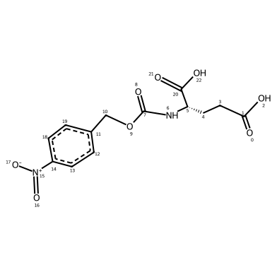 O=C(O)CC[C@H](NC(=O)OCc1ccc([N+](=O)[O-])cc1)C(=O)O